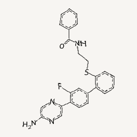 Nc1cnc(-c2ccc(-c3ccccc3SCCNC(=O)c3ccccc3)cc2F)cn1